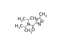 Cc1cc(C(=O)N(C(C)C)C(C)C)no1